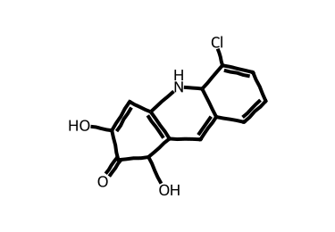 O=C1C(O)=CC2=C(C=C3C=CC=C(Cl)C3N2)C1O